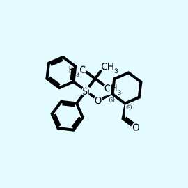 CC(C)(C)[Si](O[C@H]1CCCC[C@H]1C=O)(c1ccccc1)c1ccccc1